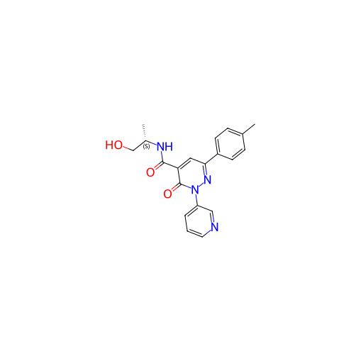 Cc1ccc(-c2cc(C(=O)N[C@@H](C)CO)c(=O)n(-c3cccnc3)n2)cc1